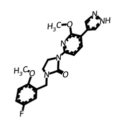 COc1ccc(F)cc1CN1CCN(c2ccc(-c3cn[nH]c3)c(OC)n2)C1=O